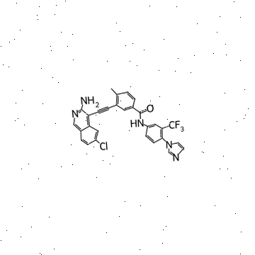 Cc1ccc(C(=O)Nc2ccc(-n3ccnc3)c(C(F)(F)F)c2)cc1C#Cc1c(N)ncc2ccc(Cl)cc12